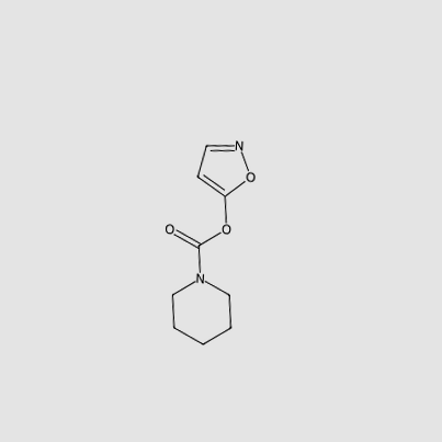 O=C(Oc1ccno1)N1CCCCC1